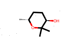 C[C@@H]1CC[C@@H](O)C(C)(C)O1